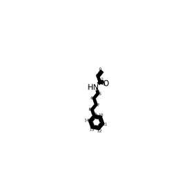 C=CC(=O)NCCCCc1ccccc1